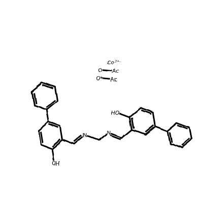 CC(=O)[O-].CC(=O)[O-].Oc1ccc(-c2ccccc2)cc1C=NCN=Cc1cc(-c2ccccc2)ccc1O.[Co+2]